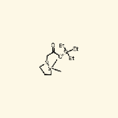 CC[Si](CC)(CC)OC(=O)CN1CCC[Si]1(C)C